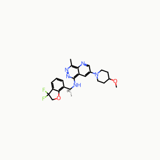 COC1CCN(c2cnc3c(C)nnc(N[C@H](C)c4cccc5c4OCC5(F)F)c3c2)CC1